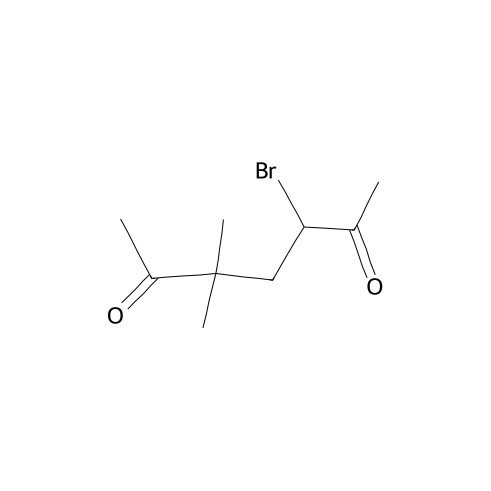 CC(=O)C(Br)CC(C)(C)C(C)=O